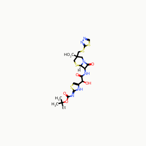 CCC(C)(C)OC(=O)N=c1[nH]c(C(O)C(=O)NC2C(=O)N3CC(CSc4nncs4)(C(=O)O)CS[C@H]23)cs1